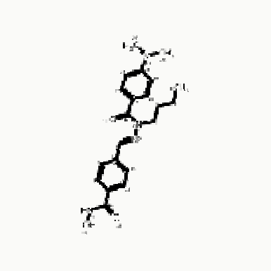 CCCCN(N=Cc1ccc(C(=O)NO)cc1)C(=O)c1ccc(N(C)C)cc1